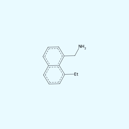 CCc1cccc2cccc(CN)c12